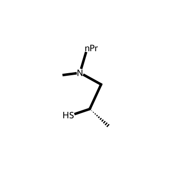 CCCN(C)C[C@H](C)S